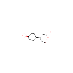 O=C1CCC(C2CCOC(=O)C2)CC1